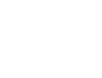 CCC(=O)CC(O)CC1CC=C(C)C1(C)C